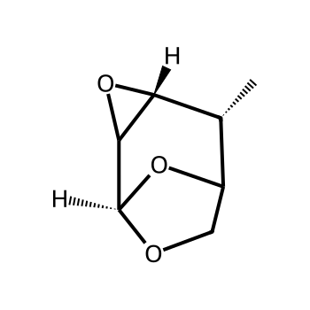 C[C@@H]1C2CO[C@H](O2)C2O[C@@H]21